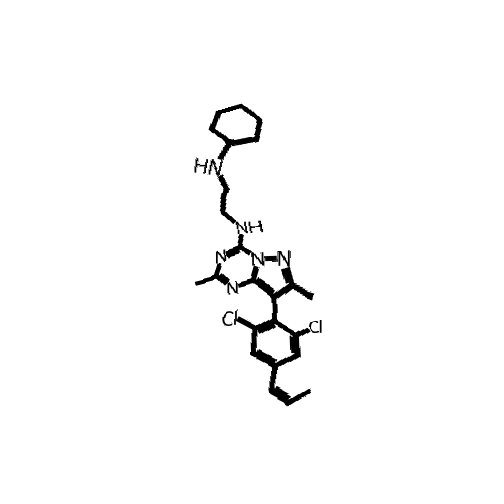 C/C=C\c1cc(Cl)c(-c2c(C)nn3c(NCCNC4CCCCC4)nc(C)nc23)c(Cl)c1